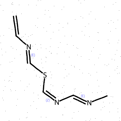 C=C/N=C/S/C=N\C=N\C